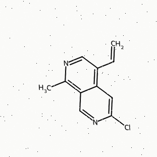 C=Cc1cnc(C)c2cnc(Cl)cc12